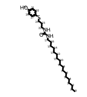 CCCCCCCCCCCCCCCCCCNC(=O)NCCCSc1ccc(O)cc1